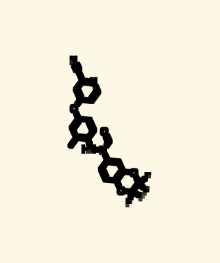 Cc1cc(Oc2ccnc(C#N)c2)ccc1NN(C=O)c1ccc2c(c1)OC(F)(F)C(F)(F)O2